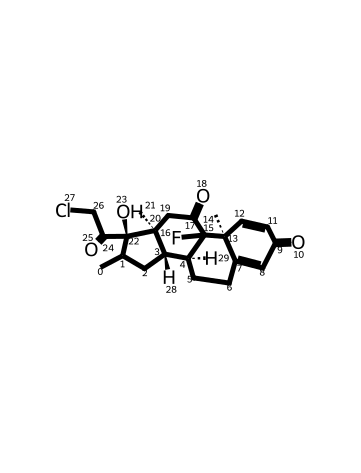 CC1C[C@H]2[C@@H]3CCC4=CC(=O)C=C[C@]4(C)C3(F)C(=O)C[C@]2(C)[C@@]1(O)C(=O)CCl